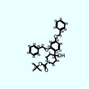 CC(C)(C)OC(=O)N1CCC(O)(c2ccc(OCc3ccccc3)cc2OCc2ccccc2)CC1